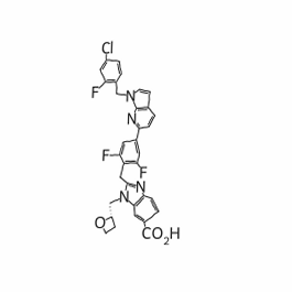 O=C(O)c1ccc2nc(Cc3c(F)cc(-c4ccc5ccn(Cc6ccc(Cl)cc6F)c5n4)cc3F)n(C[C@@H]3CCO3)c2c1